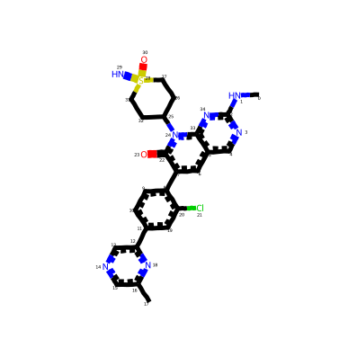 CNc1ncc2cc(-c3ccc(-c4cncc(C)n4)cc3Cl)c(=O)n(C3CCS(=N)(=O)CC3)c2n1